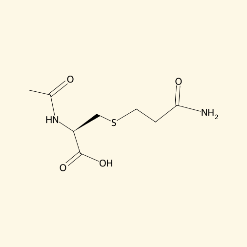 CC(=O)N[C@@H](CSCCC(N)=O)C(=O)O